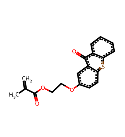 C=C(C)C(=O)OCCOc1ccc2sc3ccccc3c(=O)c2c1